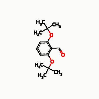 CC(C)(C)Oc1cccc(OC(C)(C)C)c1C=O